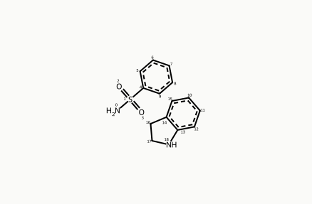 NS(=O)(=O)c1ccccc1.c1ccc2c(c1)CCN2